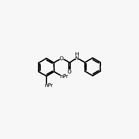 CCCc1cccc(OC(=O)Nc2ccccc2)c1CCC